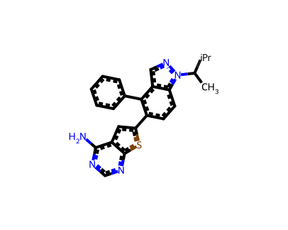 CC(C)C(C)n1ncc2c(-c3ccccc3)c(-c3cc4c(N)ncnc4s3)ccc21